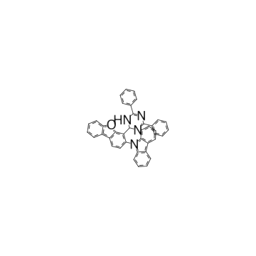 c1ccc(C2=NC(c3c(-n4c5ccccc5c5ccccc54)ccc4c3oc3ccccc34)NC(c3ccccc3)=N2)cc1